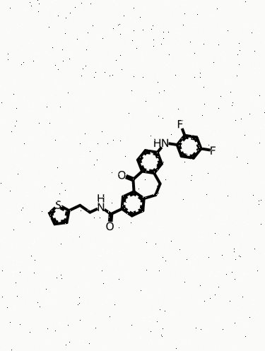 O=C(NCCc1cccs1)c1ccc2c(c1)C(=O)c1ccc(Nc3ccc(F)cc3F)cc1CC2